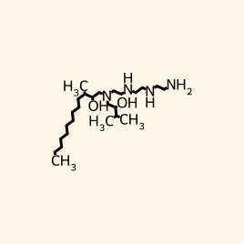 CCCCCCCCCCC(C)C(O)CN(CCNCCNCCN)CC(O)C(C)C